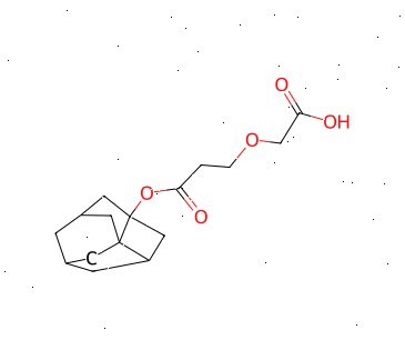 O=C(O)COCCC(=O)OC12CC3CC4CC(C1)C2(C4)C3